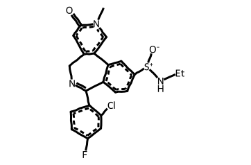 CCN[S+]([O-])c1ccc2c(c1)-c1cn(C)c(=O)cc1CN=C2c1ccc(F)cc1Cl